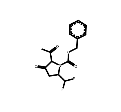 CC(=O)C1C(=O)CC(C(F)F)N1C(=O)OCc1ccccc1